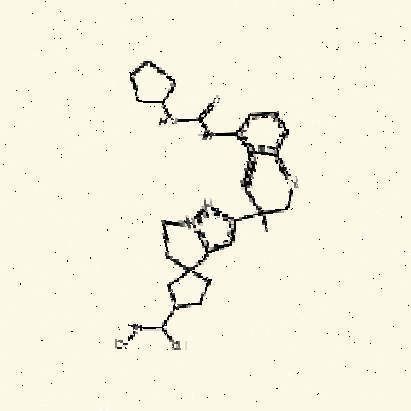 CCNC(O)N1CCC2(CCn3nc(C4(C)C=c5c(NC(=O)NC6CCCC6)cccc5=NC4)cc32)C1